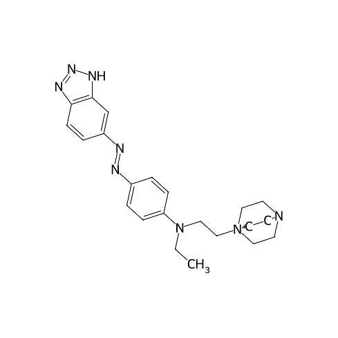 CCN(CC[N+]12CCN(CC1)CC2)c1ccc(/N=N/c2ccc3nn[nH]c3c2)cc1